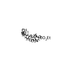 CCOC(=O)Oc1cnc(Cl)c2c(COc3cc(-c4nnc(C)o4)ccc3C)csc12